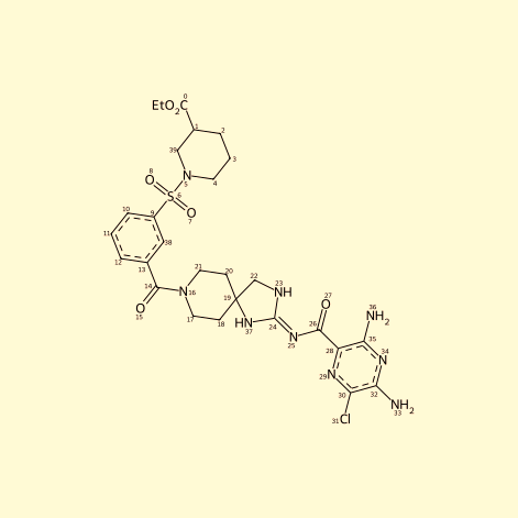 CCOC(=O)C1CCCN(S(=O)(=O)c2cccc(C(=O)N3CCC4(CC3)CN/C(=N\C(=O)c3nc(Cl)c(N)nc3N)N4)c2)C1